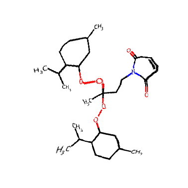 CC1CCC(C(C)C)C(OOC(C)(CCN2C(=O)C=CC2=O)OOC2CC(C)CCC2C(C)C)C1